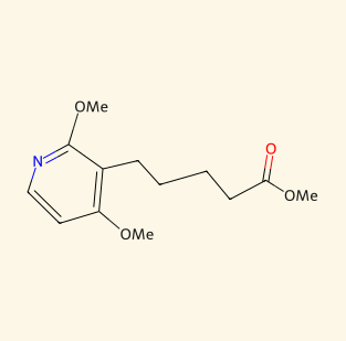 COC(=O)CCCCc1c(OC)ccnc1OC